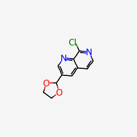 Clc1nccc2cc(C3OCCO3)cnc12